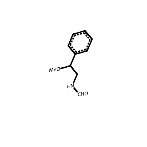 COC(CNC=O)c1ccccc1